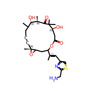 C/C(=C\c1csc(CN)n1)C1CC2O[C@]2(C)CCCC(C)[C@H](O)[C@@H](C)C(=O)C(C)(C)[C@@H](O)CC(=O)O1